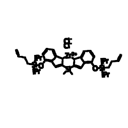 C=CCC[Si](Oc1cccc2c1C=C1[CH]2[Zr+2][CH]2C(=Cc3c(O[Si](CCC=C)(C(C)C)C(C)C)cccc32)[Si]1(C)C)(C(C)C)C(C)C.[Cl-].[Cl-]